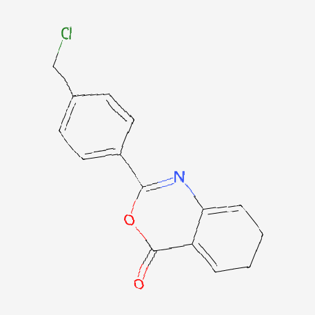 O=c1oc(-c2ccc(CCl)cc2)nc2c1=CCCC=2